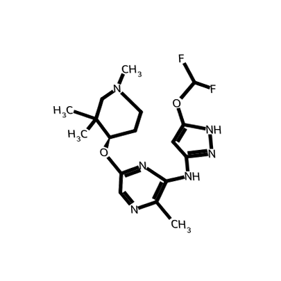 Cc1ncc(O[C@@H]2CCN(C)CC2(C)C)nc1Nc1cc(OC(F)F)[nH]n1